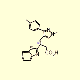 Cc1ccc(-c2nn(C)cc2/C=C(\CC(=O)O)c2nc3ccccc3s2)cc1